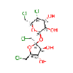 O[C@@H]1[C@@H](O)[C@@H](O[C@]2(CCl)O[C@H](CCl)[C@@H](O)[C@@H]2O)O[C@H](CCl)[C@@H]1Cl